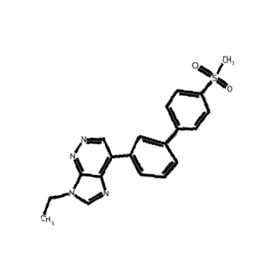 CCn1cnc2c(-c3cccc(-c4ccc(S(C)(=O)=O)cc4)c3)cnnc21